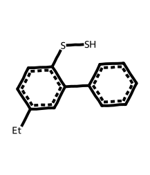 CCc1ccc(SS)c(-c2ccccc2)c1